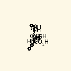 C[C@@H](NC(=O)NCCCCC(=O)NCC(=O)NC(CC(=O)O)c1ccc(-c2ccccc2)cc1)c1ccccc1.O=C(O)C(F)(F)F